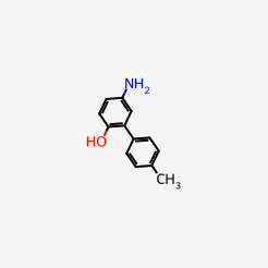 Cc1ccc(-c2cc(N)ccc2O)cc1